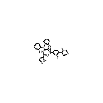 Cc1cnccc1-c1ccc(NC(=O)[C@@H](NC(=O)c2ccnn2C)C(c2ccccc2)c2ccccc2)cc1F